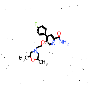 CC1CN(CCOc2cnc(C(N)=O)cc2-c2ccc(F)cc2)CC(C)O1